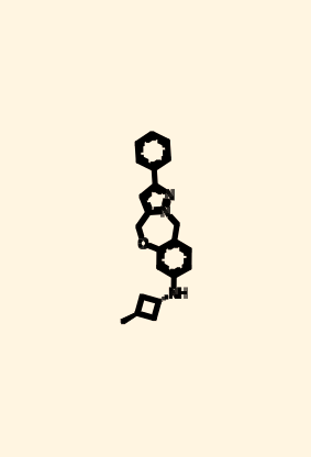 C[C@H]1C[C@H](Nc2ccc3c(c2)OCc2cc(-c4ccccc4)nn2C3)C1